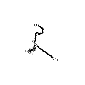 CCCCC/C=C\C/C=C\C/C=C\C/C=C\CCCCCC(=O)OC[C@H](COP(=O)([O-])OCC[N+](C)(C)C)OC(=O)CCCCCCCCCCCCCCCC